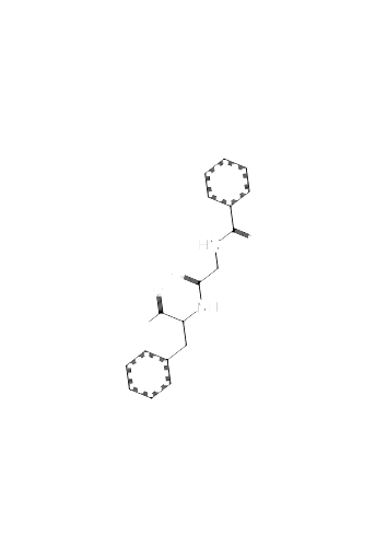 O=C(CNC(=O)c1ccccc1)NC(Cc1ccccc1)C(=O)O